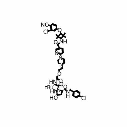 CC(C)(C)[C@H](NC(=O)COCCN1CCN(c2ccc(C(=O)N[C@H]3C(C)(C)[C@H](Oc4ccc(C#N)c(Cl)c4)C3(C)C)cn2)CC1)C(=O)N1N[C@H](O)C[C@H]1C(=O)NCc1ccc(Cl)cc1